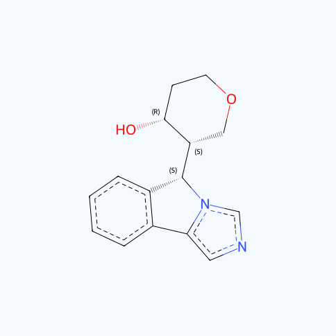 O[C@@H]1CCOC[C@@H]1[C@H]1c2ccccc2-c2cncn21